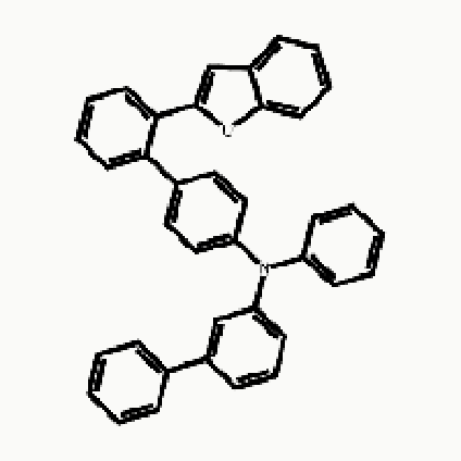 c1ccc(-c2cccc(N(c3ccccc3)c3ccc(-c4ccccc4-c4cc5ccccc5o4)cc3)c2)cc1